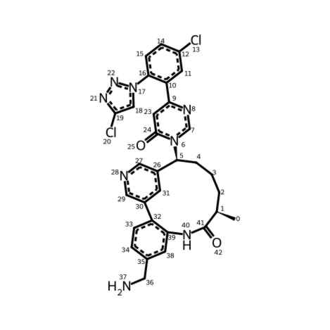 C[C@@H]1CCC[C@H](n2cnc(-c3cc(Cl)ccc3-n3cc(Cl)nn3)cc2=O)c2cncc(c2)-c2ccc(CN)cc2NC1=O